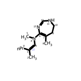 CCC/C(C)=C\N(C)C1=C(C)CCNC=N1